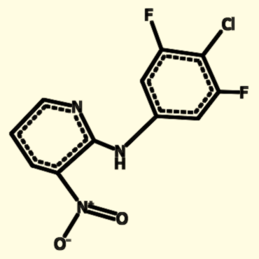 O=[N+]([O-])c1cccnc1Nc1cc(F)c(Cl)c(F)c1